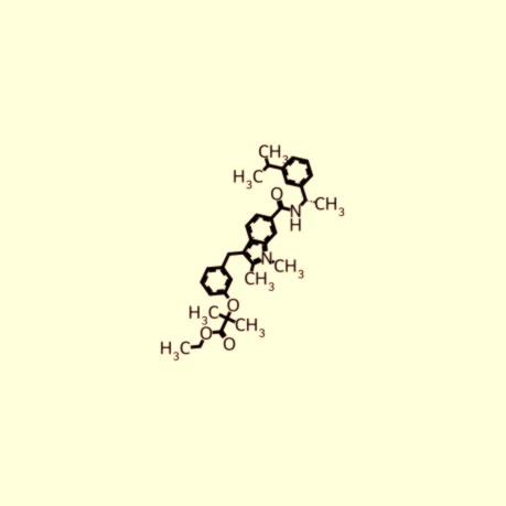 CCOC(=O)C(C)(C)Oc1cccc(Cc2c(C)n(C)c3cc(C(=O)N[C@@H](C)c4cccc(C(C)C)c4)ccc23)c1